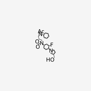 CC(=O)N(CC1CN(c2ccc(-n3ccc(CO)c3)c(F)c2)C(=O)O1)c1ccccc1